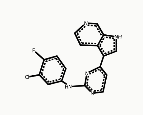 Fc1ccc(Nc2nccc(-c3c[nH]c4cnccc34)n2)cc1Cl